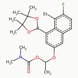 CCc1c(F)ccc2cc(OC(C)OC(=O)N(C)C)cc(B3OC(C)(C)C(C)(C)O3)c12